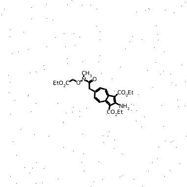 CCOC(=O)CON(C)C(=O)Cc1ccc2c(C(=O)OCC)c(N)c(C(=O)OCC)c-2cc1